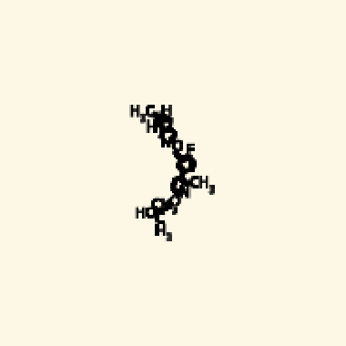 Cc1nc(OCCC(C)(C)O)ccc1-c1ccc(F)c(COc2cc3c(cn2)[C@@H]2[C@@H](C)[C@@H]2C3)c1